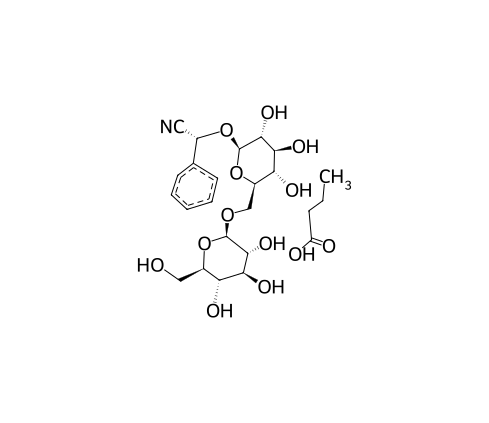 CCCC(=O)O.N#C[C@H](O[C@@H]1O[C@H](CO[C@@H]2O[C@H](CO)[C@@H](O)[C@H](O)[C@H]2O)[C@@H](O)[C@H](O)[C@H]1O)c1ccccc1